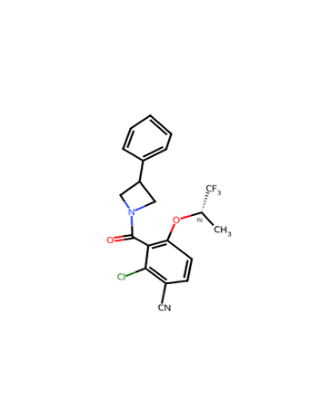 C[C@H](Oc1ccc(C#N)c(Cl)c1C(=O)N1CC(c2ccccc2)C1)C(F)(F)F